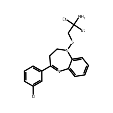 CCC(N)(CC)CSN1CCC(c2cccc(Cl)c2)=Nc2ccccc21